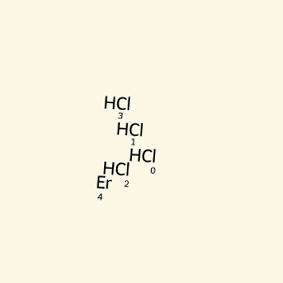 Cl.Cl.Cl.Cl.[Er]